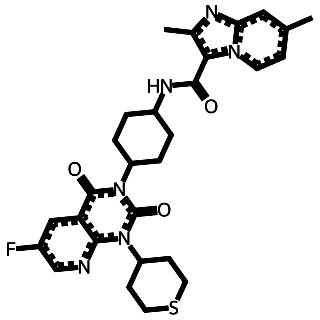 Cc1ccn2c(C(=O)NC3CCC(n4c(=O)c5cc(F)cnc5n(C5CCSCC5)c4=O)CC3)c(C)nc2c1